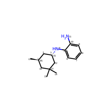 C[C@H]1C[C@H](Nc2ccccc2N)CC(C)(C)C1